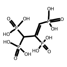 O=P(O)(O)C=C(C(P(=O)(O)O)P(=O)(O)O)P(=O)(O)O